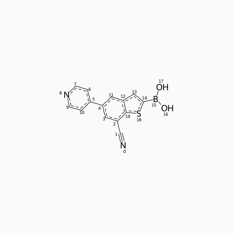 N#Cc1cc(-c2ccncc2)cc2cc(B(O)O)sc12